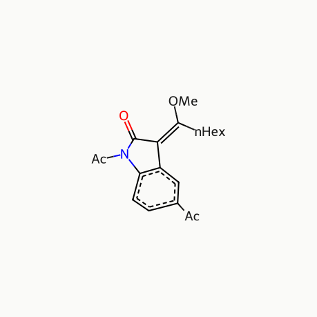 CCCCCC/C(OC)=C1/C(=O)N(C(C)=O)c2ccc(C(C)=O)cc21